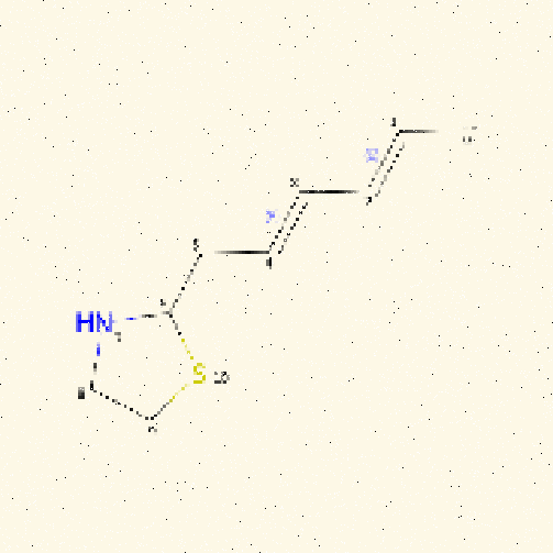 [CH2]/C=C/C=C/CC1NCCS1